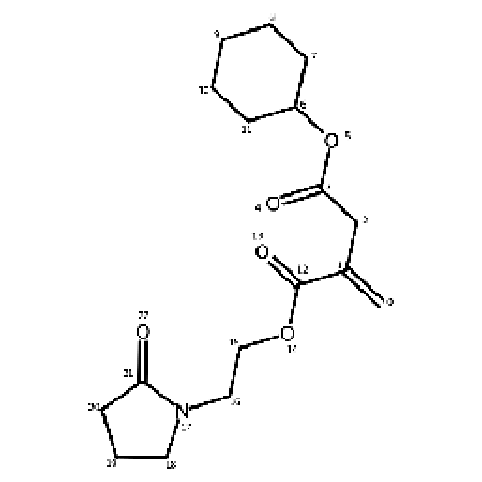 C=C(CC(=O)OC1CCCCC1)C(=O)OCCN1CCCC1=O